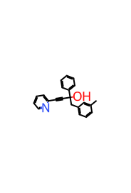 Cc1cccc(CC(O)(C#Cc2ccccn2)c2ccccc2)c1